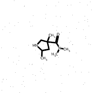 CC1CC(C)(C(=O)N(C)C)CN1